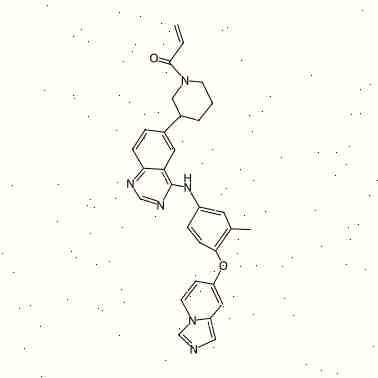 C=CC(=O)N1CCCC(c2ccc3ncnc(Nc4ccc(Oc5ccn6cncc6c5)c(C)c4)c3c2)C1